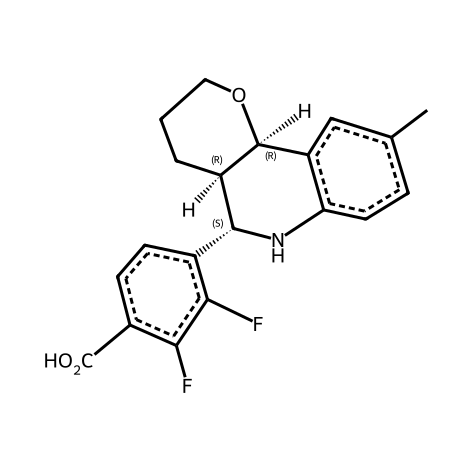 Cc1ccc2c(c1)[C@@H]1OCCC[C@@H]1[C@@H](c1ccc(C(=O)O)c(F)c1F)N2